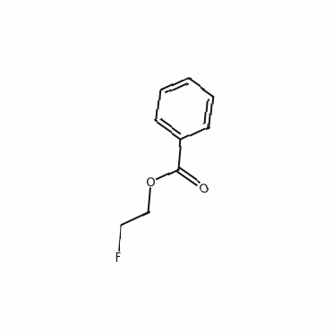 O=C(OCCF)c1ccccc1